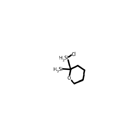 [SiH3]C1([SiH2]Cl)CCCCO1